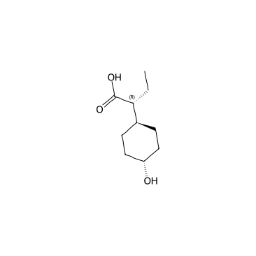 CC[C@@H](C(=O)O)[C@H]1CC[C@H](O)CC1